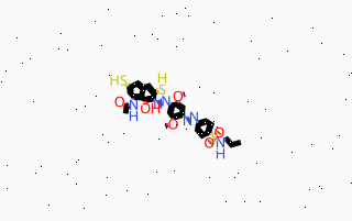 CCCNS(=O)(=O)c1ccc(/N=N/c2cc(OC)c(/N=N/c3c(S)cc4cc(S)cc(NC(C)=O)c4c3O)cc2OC)cc1